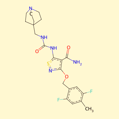 Cc1cc(F)c(COc2nsc(NC(=O)NCC34CCN(CC3)CC4)c2C(N)=O)cc1F